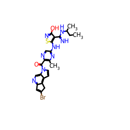 CCC(C)NC(=N)c1c(O)nsc1Nc1cnc(C(=O)n2ccc3c4c(ncc32)C=C(Br)C4)c(C)n1